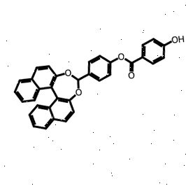 O=C(Oc1ccc(C2Oc3ccc4ccccc4c3-c3c(ccc4ccccc34)O2)cc1)c1ccc(O)cc1